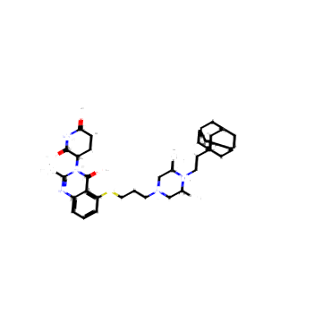 Cc1nc2cccc(SCCCN3CC(C)N(CCC45CC6CC(CC(C6)C4)C5)C(C)C3)c2c(=O)n1C1CCC(=O)NC1=O